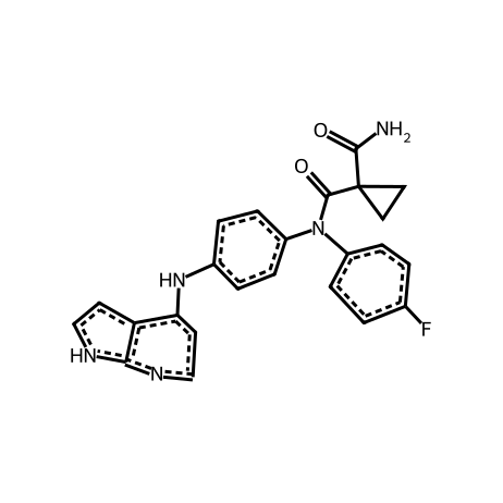 NC(=O)C1(C(=O)N(c2ccc(F)cc2)c2ccc(Nc3ccnc4[nH]ccc34)cc2)CC1